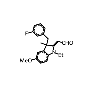 CCN1/C(=C\C=O)C(C)(Cc2cccc(F)c2)c2cc(OC)ccc21